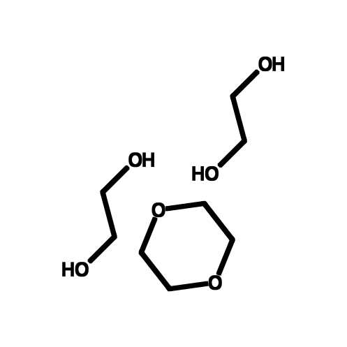 C1COCCO1.OCCO.OCCO